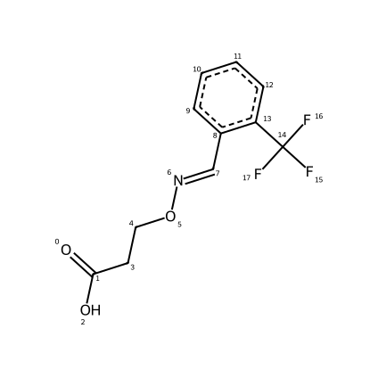 O=C(O)CCON=Cc1ccccc1C(F)(F)F